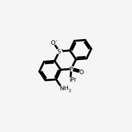 CC(C)P1(=O)c2ccccc2[S+]([O-])c2cccc(N)c21